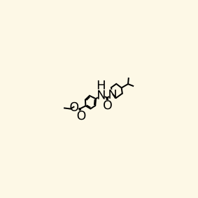 CCOC(=O)c1ccc(NC(=O)N2CCC(C(C)C)CC2)cc1